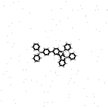 c1ccc(N(c2ccc(-c3ccc4c(c3)c3c5ccccc5n(-c5ccccc5)c3n4-c3ccccc3)cc2)c2cccnc2)cc1